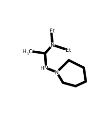 CCN(CC)C(C)NN1CCCCC1